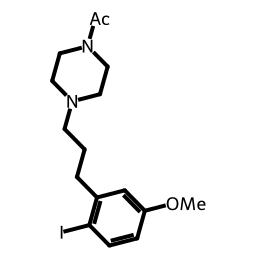 COc1ccc(I)c(CCCN2CCN(C(C)=O)CC2)c1